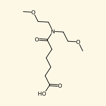 COCCN(CCOC)C(=O)CCCCC(=O)O